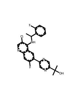 CC(Nc1c(Cl)cnc2cc(F)c(-c3cnc(C(C)(C)O)cn3)cc12)c1ccccc1F